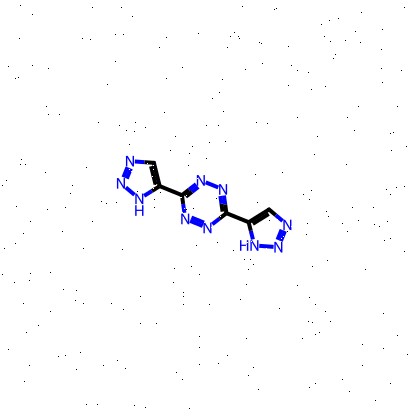 c1nn[nH]c1-c1nnc(-c2cnn[nH]2)nn1